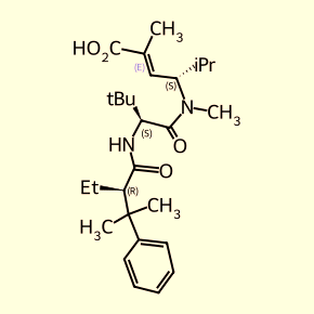 CC[C@@H](C(=O)N[C@H](C(=O)N(C)[C@H](/C=C(\C)C(=O)O)C(C)C)C(C)(C)C)C(C)(C)c1ccccc1